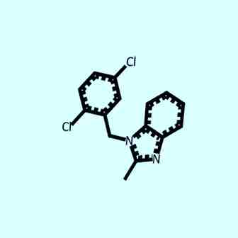 Cc1nc2ccccc2n1Cc1cc(Cl)ccc1Cl